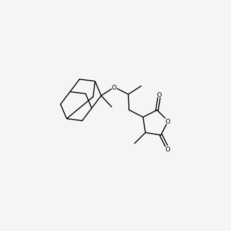 CC(CC1C(=O)OC(=O)C1C)OC1(C)C2CC3CC(C2)CC1C3